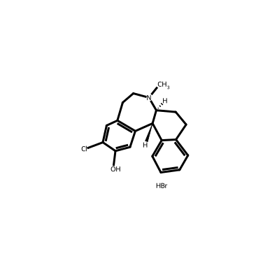 Br.CN1CCc2cc(Cl)c(O)cc2[C@H]2c3ccccc3CC[C@@H]21